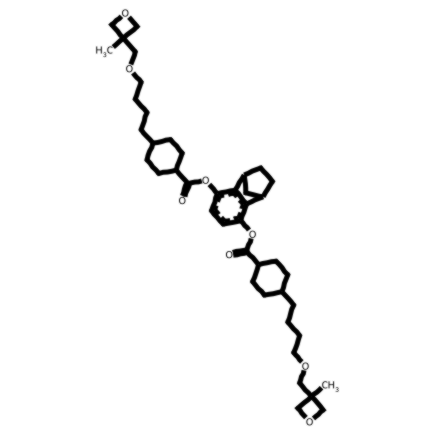 CC1(COCCCCC2CCC(C(=O)Oc3ccc(OC(=O)C4CCC(CCCCOCC5(C)COC5)CC4)c4c3C3CCC4C3)CC2)COC1